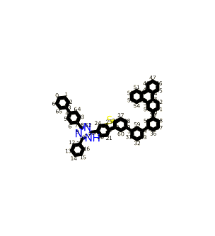 c1ccc(-c2ccc(C3=NC(c4ccccc4)NC(c4ccc5c(c4)sc4ccc(-c6cccc(-c7cccc(-c8ccc9c%10ccccc%10c%10ccccc%10c9c8)c7)c6)cc45)=N3)cc2)cc1